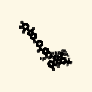 COc1cc(C(=O)N2CCC[C@H](Oc3ccc4c(c3)CN(C3CCC(=O)NC3=O)C4=O)C2)ccc1NC(=O)[C@@H]1N[C@@H](CC(C)(C)C)[C@@]2(CNc3cc(C(F)(F)F)ncc32)[C@H]1c1cccc(Cl)c1F